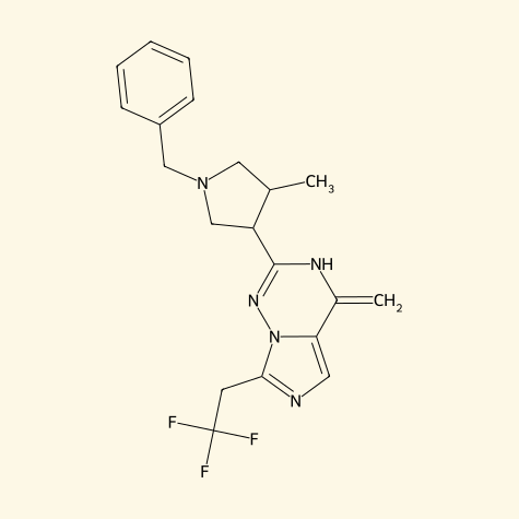 C=C1NC(C2CN(Cc3ccccc3)CC2C)=Nn2c1cnc2CC(F)(F)F